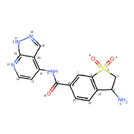 NC1CS(=O)(=O)c2cc(C(=O)Nc3ccnc4[nH]ncc34)ccc21